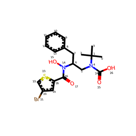 CC(C)(C)N(CC(Cc1ccccc1)N(O)C(=O)c1cc(Br)cs1)C(=O)O